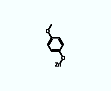 COc1ccc([O][Zn])cc1